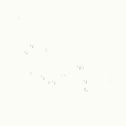 CCc1c(-c2ccc(NC(=O)[C@H](c3cnn(CCC[S+](C)[O-])c3C(N)=O)C(C3CCCCC3)C3CCCCC3)nc2F)c(C)nn1COCC[Si](C)(C)C